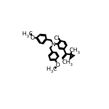 C/C=C(/c1ccc(Cl)c(N(Cc2ccc(OC)cc2)Cc2ccc(OC)cc2)c1)C1(C)CC1